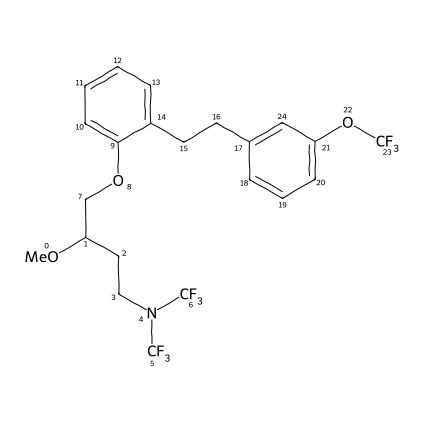 COC(CCN(C(F)(F)F)C(F)(F)F)COc1ccccc1CCc1cccc(OC(F)(F)F)c1